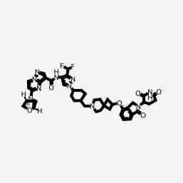 O=C1CCC(N2Cc3c(OC4CC5(CCN(CC6CCC(n7cc(NC(=O)c8cnn9ccc(N%10C[C@H]%11C[C@@H]%10CO%11)nc89)c(C(F)F)n7)CC6)CC5)C4)cccc3C2=O)C(=O)N1